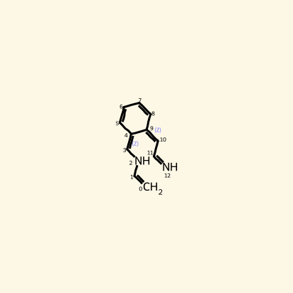 C=CN/C=c1/cccc/c1=C/C=N